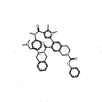 Cc1c(C(=O)N(C)c2ccccc2)cc(-c2cc3c(cc2C(=O)N2Cc4ccccc4C[C@H]2CCN(C)C)CN(C(=O)Oc2ccccc2)CC3)n1C